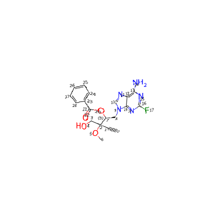 C#CC(CO)(OC)[C@H](Cn1cnc2c(N)nc(F)nc21)OC(=O)c1ccccc1